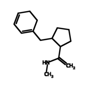 C=C(NC)C1CCCC1CC1=CC=CCC1